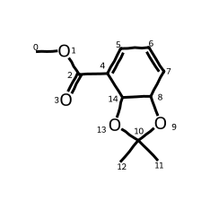 COC(=O)C1=CC=CC2OC(C)(C)OC12